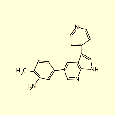 Cc1ccc(-c2cnc3[nH]cc(-c4ccncc4)c3c2)cc1N